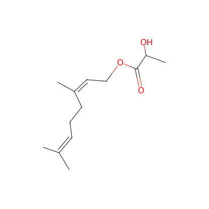 CC(C)=CCC/C(C)=C\COC(=O)C(C)O